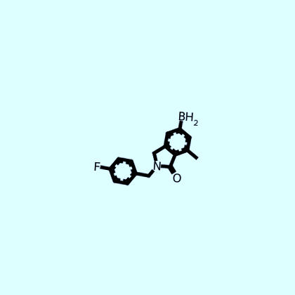 Bc1cc(C)c2c(c1)CN(Cc1ccc(F)cc1)C2=O